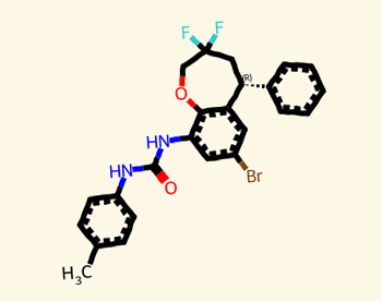 Cc1ccc(NC(=O)Nc2cc(Br)cc3c2OCC(F)(F)C[C@@H]3c2ccccc2)cc1